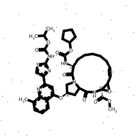 COC(=O)[C@]12NC(=O)C3C[C@@H](Oc4cc(-c5csc(NC(=O)OC(C)C)n5)nc5c(C)cccc45)CN3C(=O)[C@@H](NC(=O)OC3CCCC3)CCCCC/C=C\C1O2